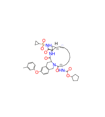 Cc1cccc(Oc2ccc3c(c2)CC2C(=O)N[C@]4(C(=O)NS(=O)(=O)C5CC5)C[C@H]4/C=C\CCCCC[C@H](NC(=O)OC4CCCC4)C(=O)N2C3)c1